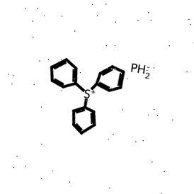 [PH2-].c1ccc([S+](c2ccccc2)c2ccccc2)cc1